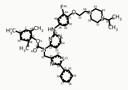 Cc1cc(C)c(OC(=O)N(Cc2csc(-c3ccccc3)n2)c2ccnc(Nc3ccc(OCCN4CCN(C(C)C)CC4)c(F)c3)n2)c(C)c1